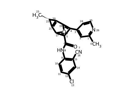 Cc1cc(-c2c(C(=O)Nc3ccc(Cl)cc3C#N)c3oc2c2c3[C@@H]2C)ccn1